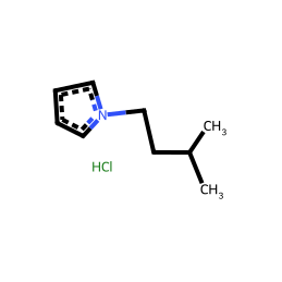 CC(C)CCn1cccc1.Cl